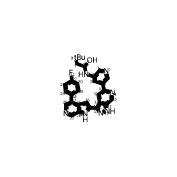 CC(C)(C)CC(O)Nc1cncc(-c2cc3c(-c4cc5c(-c6ccc(F)cc6)cncc5[nH]4)n[nH]c3cn2)c1